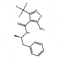 C[C@H](Cc1ccccc1)NC(=O)c1c(C(F)(F)F)noc1N